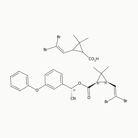 CC1(C)C(C=C(Br)Br)C1C(=O)O.CC1(C)[C@H](C(=O)O[C@H](C#N)c2cccc(Oc3ccccc3)c2)[C@@H]1C=C(Br)Br